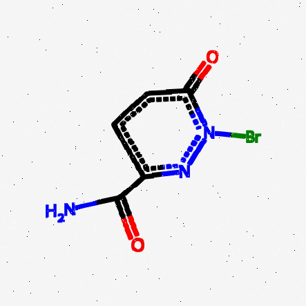 NC(=O)c1ccc(=O)n(Br)n1